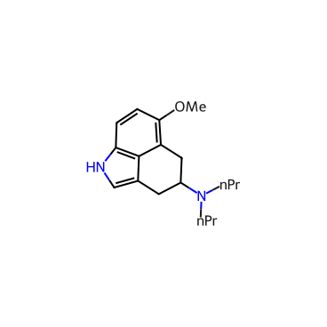 CCCN(CCC)C1Cc2c[nH]c3ccc(OC)c(c23)C1